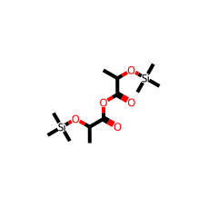 CC(O[Si](C)(C)C)C(=O)OC(=O)C(C)O[Si](C)(C)C